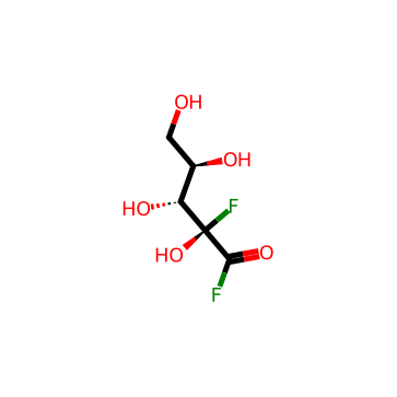 O=C(F)[C@@](O)(F)[C@H](O)[C@H](O)CO